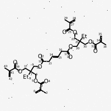 C=C(C)C(=O)OCC(CC)(COC(=O)C/C=C/CC(=O)OCC(CC)(COC(=O)C(=C)C)COC(=O)C(=C)C)COC(=O)C(=C)C